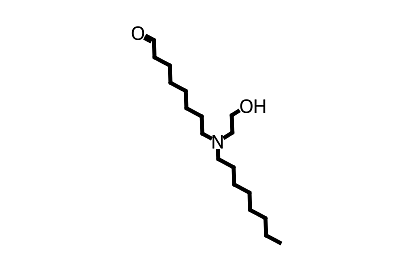 CCCCCCCCN(CCO)CCCCCCCC=O